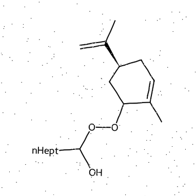 C=C(C)[C@H]1CC=C(C)C(OOC(O)CCCCCCC)C1